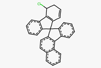 ClC1CC=CC2=C1c1ccccc1C21c2ccccc2-c2c1ccc1ccccc21